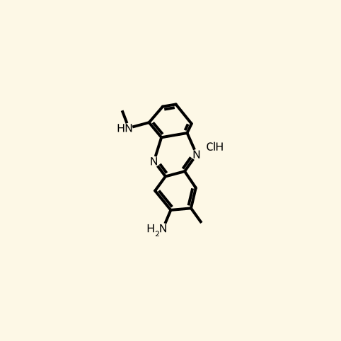 CNc1cccc2nc3cc(C)c(N)cc3nc12.Cl